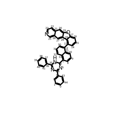 c1ccc(C2=NC(c3cccc4c(-c5cccc6oc7cc8ccncc8cc7c56)cccc34)NC(c3ccccc3)=N2)cc1